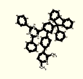 Cc1ccc(-c2ccc(-c3cc(C4(c5ccccc5)c5ccccc5-c5ccccc54)ccc3-c3nc(-c4ccccc4)nc(-c4ccccc4)n3)cc2)c(C)n1